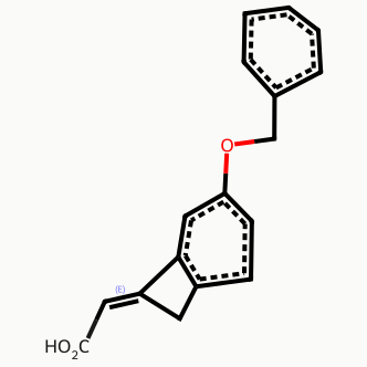 O=C(O)/C=C1\Cc2ccc(OCc3ccccc3)cc21